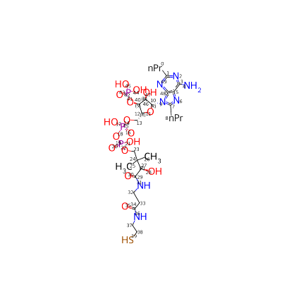 CCCc1nc(N)c2nc(CCC)n([C@@H]3O[C@H](COP(=O)(O)OP(=O)(O)OCC(C)(C)[C@@H](O)C(=O)NCCC(=O)NCCS)[C@@H](OP(=O)(O)O)[C@H]3O)c2n1